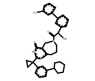 O=C(C(O)c1cccc(-c2cccc(C(F)(F)F)c2)c1)N1CCCc2nc(C3(c4cccc(C5CCCCC5)c4)CC3)[nH]c(=O)c2C1